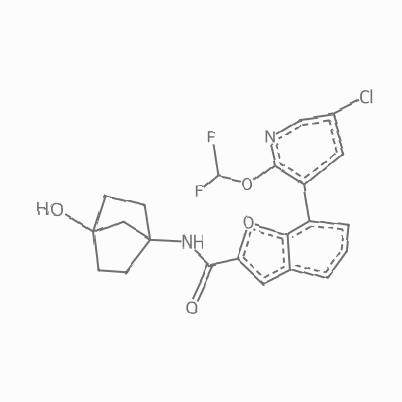 O=C(NC12CCC(O)(CC1)C2)c1cc2cccc(-c3cc(Cl)cnc3OC(F)F)c2o1